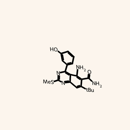 CSc1nc(-c2cccc(O)c2)c2c(N)c(C(N)=O)c(C(C)(C)C)cc2n1